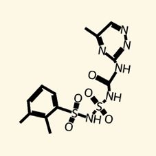 Cc1cnnc(NC(=O)NS(=O)(=O)NS(=O)(=O)c2cccc(C)c2C)n1